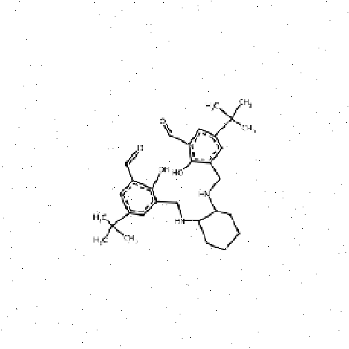 CC(C)(C)c1cc(C=O)c(O)c(CNC2CCCCC2NCc2cc(C(C)(C)C)cc(C=O)c2O)c1